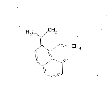 C.CC(C)=c1ccc2cccc3cccc1c32